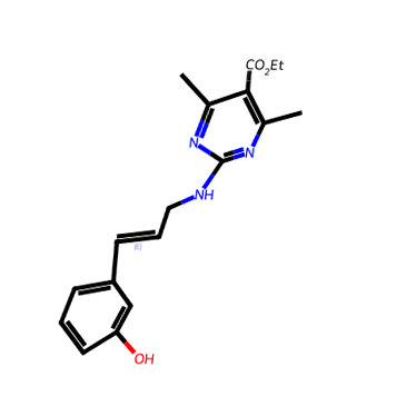 CCOC(=O)c1c(C)nc(NC/C=C/c2cccc(O)c2)nc1C